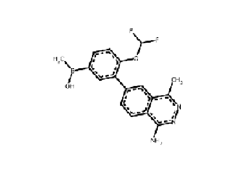 CB(O)c1ccc(OC(F)F)c(-c2ccc3c(N)nnc(C)c3c2)c1